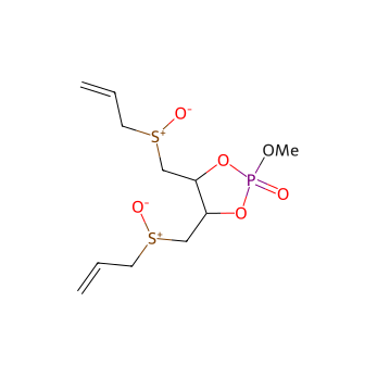 C=CC[S+]([O-])CC1OP(=O)(OC)OC1C[S+]([O-])CC=C